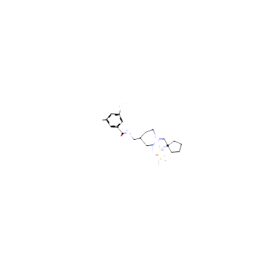 CCS(=O)(=O)NC1(CN2CCC(CNC(=O)c3cc(C(F)(F)F)cc(C(F)(F)F)c3)CC2)CCCC1